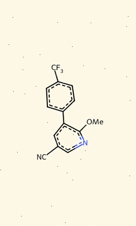 COc1ncc(C#N)cc1-c1ccc(C(F)(F)F)cc1